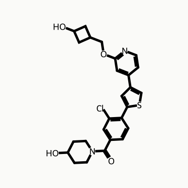 O=C(c1ccc(-c2cc(-c3ccnc(OCC4CC(O)C4)c3)cs2)c(Cl)c1)N1CCC(O)CC1